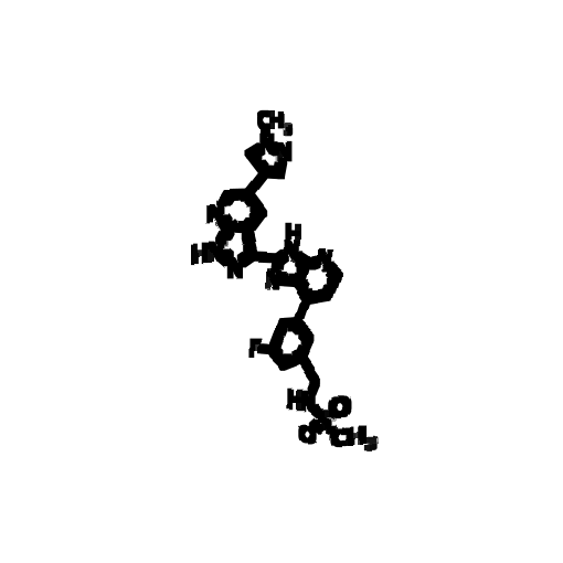 Cn1cc(-c2cnc3[nH]nc(-c4nc5c(-c6cc(F)cc(CNS(C)(=O)=O)c6)ccnc5[nH]4)c3c2)cn1